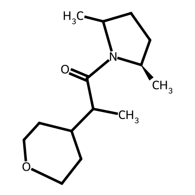 CC(C(=O)N1C(C)CC[C@H]1C)C1CCOCC1